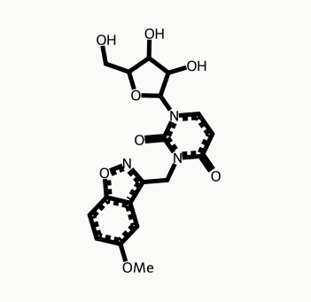 COc1ccc2onc(Cn3c(=O)ccn(C4OC(CO)C(O)C4O)c3=O)c2c1